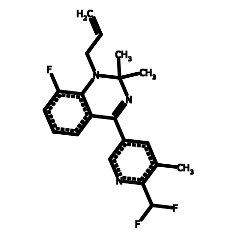 C=CCN1c2c(F)cccc2C(c2cnc(C(F)F)c(C)c2)=NC1(C)C